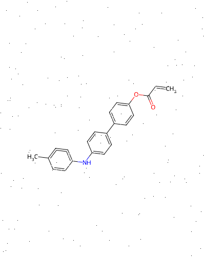 C=CC(=O)Oc1ccc(-c2ccc(NC3=C=C=C(C)C=C3)cc2)cc1